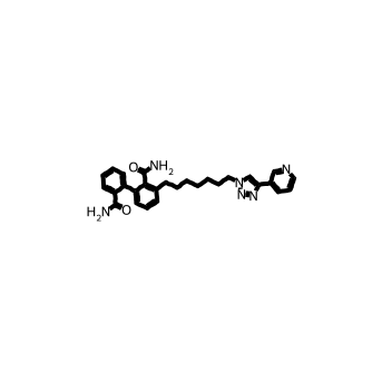 NC(=O)c1ccccc1-c1cccc(CCCCCCCn2cc(-c3cccnc3)nn2)c1C(N)=O